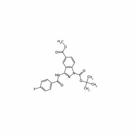 COC(=O)c1ccc2c(c1)c(NC(=O)c1ccc(F)cc1)nn2C(=O)OC(C)(C)C